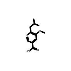 COc1cc(C(=O)O)cnc1CC(C)C